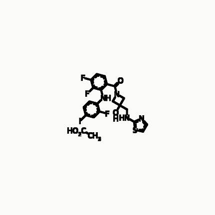 CC(=O)O.O=C(c1ccc(F)c(F)c1Nc1ccc(I)cc1F)N1CC(O)(CNc2nccs2)C1